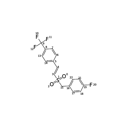 O=S(=O)(C=Cc1ccc(C(F)(F)F)cc1)Cc1ccc(F)cc1